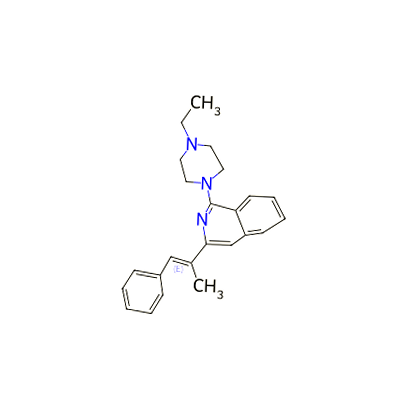 CCN1CCN(c2nc(/C(C)=C/c3ccccc3)cc3ccccc23)CC1